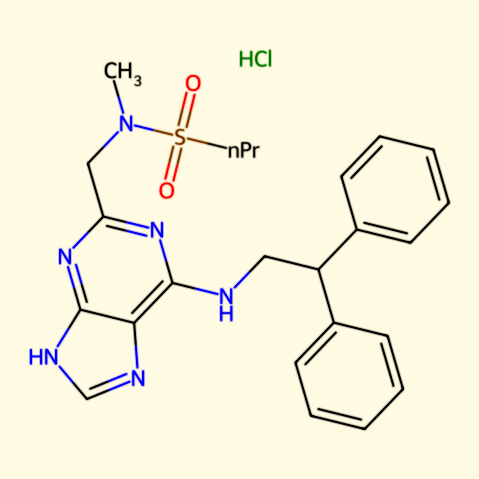 CCCS(=O)(=O)N(C)Cc1nc(NCC(c2ccccc2)c2ccccc2)c2nc[nH]c2n1.Cl